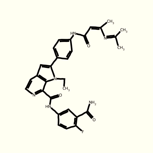 CCn1c(-c2ccc(NC(=O)/C=C(/C)N=C(C)C)cc2)cc2ccnc(C(=O)Nc3ccc(F)c(C(N)=O)c3)c21